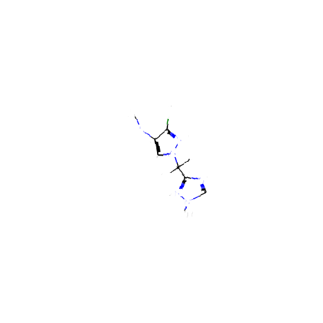 Cn1cnc(C(C)(C)n2cc(NC(=O)O)c(Cl)n2)n1